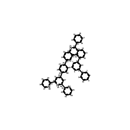 c1ccc(-c2cccc(-c3cccc4c(-c5ccccc5)nc5ccc(-c6ccc(-c7cc(-c8ccccn8)nc(-c8ccccn8)c7)cc6)cc5c34)c2)cc1